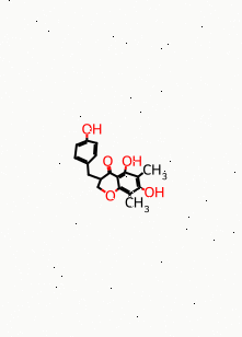 Cc1c(O)c(C)c2c(c1O)C(=O)C(Cc1ccc(O)cc1)CO2